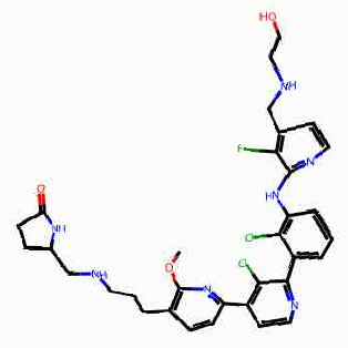 COc1nc(-c2ccnc(-c3cccc(Nc4nccc(CNCCO)c4F)c3Cl)c2Cl)ccc1CCCNCC1CCC(=O)N1